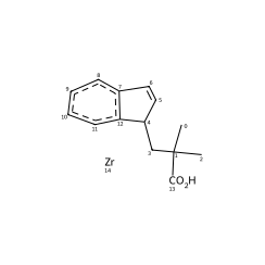 CC(C)(CC1C=Cc2ccccc21)C(=O)O.[Zr]